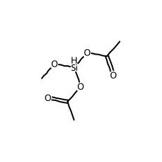 CO[SiH](OC(C)=O)OC(C)=O